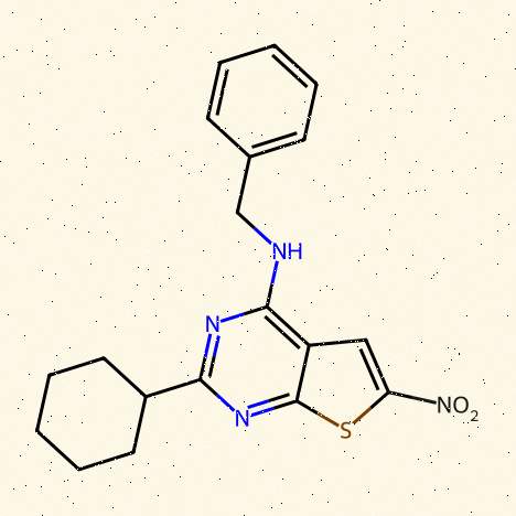 O=[N+]([O-])c1cc2c(NCc3ccccc3)nc(C3CCCCC3)nc2s1